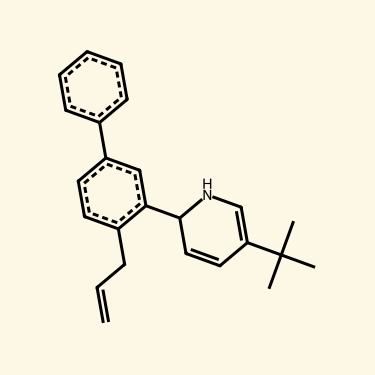 C=CCc1ccc(-c2ccccc2)cc1C1C=CC(C(C)(C)C)=CN1